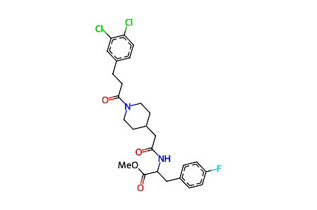 COC(=O)C(Cc1ccc(F)cc1)NC(=O)CC1CCN(C(=O)CCc2ccc(Cl)c(Cl)c2)CC1